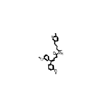 COc1cccc(C(=CCCC(=O)N[C@H](C)CCCc2ccc(C)nc2)c2cccc(OC)c2)c1